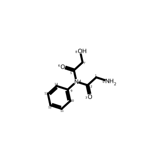 NCC(=O)N(C(=O)CO)c1ccccc1